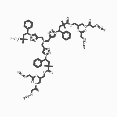 CCOC(=O)C(C)(C)CC(c1ccccc1)n1cc(CN(Cc2cn(C(CC(C)(C)C(=O)OCC(COC(=O)CN=[N+]=[N-])OC(=O)CN=[N+]=[N-])c3ccccc3)nn2)Cc2cn(C(CC(C)(C)C(=O)OCC(COC(=O)CN=[N+]=[N-])OC(=O)CN=[N+]=[N-])c3ccccc3)nn2)nn1